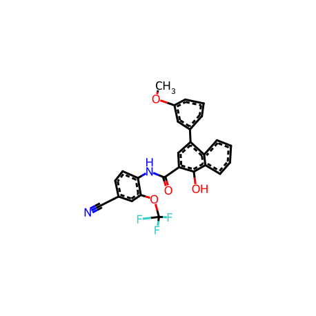 COc1cccc(-c2cc(C(=O)Nc3ccc(C#N)cc3OC(F)(F)F)c(O)c3ccccc23)c1